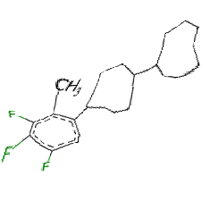 Cc1c(C2CCC(C3CCCCC3)CC2)cc(F)c(F)c1F